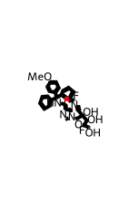 C#C[C@]1(O)[C@H](n2cnc3c(NC(c4ccccc4)(c4ccccc4)c4ccc(OC)cc4)nc(F)nc32)O[C@](F)(CO)[C@H]1O